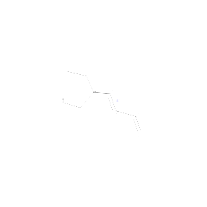 CCC(/C=C/C=O)CC